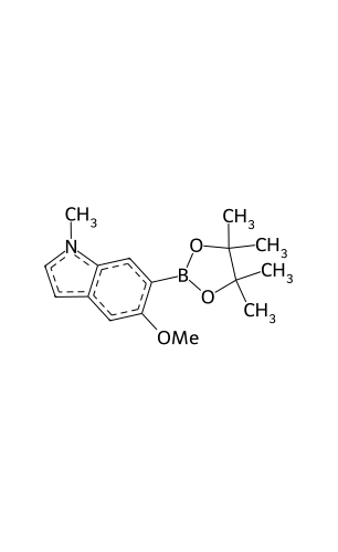 COc1cc2ccn(C)c2cc1B1OC(C)(C)C(C)(C)O1